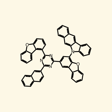 c1ccc2cc(-c3nc(-c4cc(-n5c6ccccc6c6cc7ccccc7cc65)c5oc6ccccc6c5c4)nc(-c4cccc5oc6ccccc6c45)n3)ccc2c1